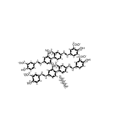 O=C([O-])c1cc(/N=N/c2ccc(-c3ccc(/N=N/c4ccc(O)c(C(=O)[O-])c4)cc3S(=O)(=O)O)c(S(=O)(=O)O)c2)ccc1O.O=C([O-])c1cc(/N=N/c2ccc(-c3ccc(/N=N/c4ccc(O)c(C(=O)[O-])c4)cc3S(=O)(=O)O)c(S(=O)(=O)O)c2)ccc1O.[Na+].[Na+].[Na+].[Na+]